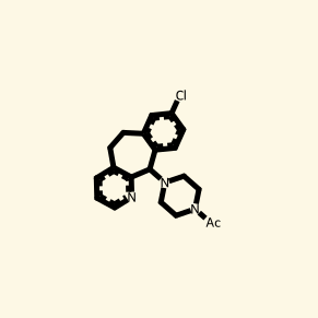 CC(=O)N1CCN(C2c3ccc(Cl)cc3CCc3cccnc32)CC1